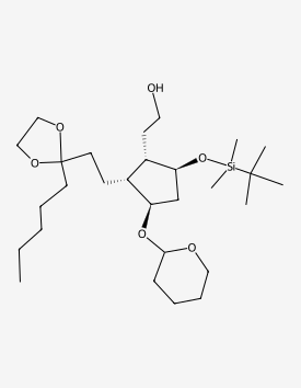 CCCCCC1(CC[C@@H]2[C@H](CCO)[C@@H](O[Si](C)(C)C(C)(C)C)C[C@H]2OC2CCCCO2)OCCO1